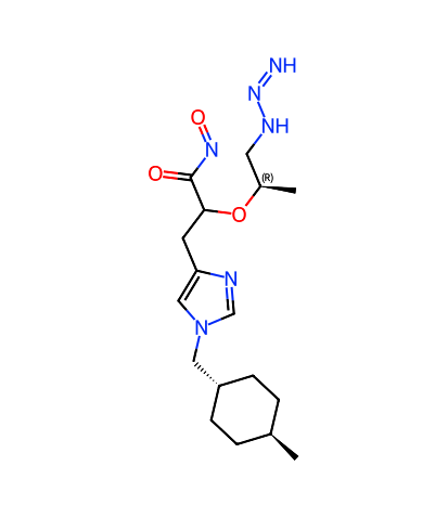 C[C@H](CNN=N)OC(Cc1cn(C[C@H]2CC[C@H](C)CC2)cn1)C(=O)N=O